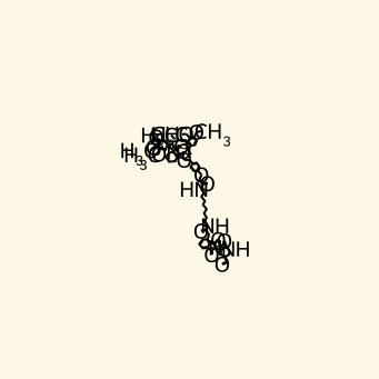 CC[C@H](C(=O)N1CCCC[C@H]1C(=O)O[C@H](CCc1ccc(OC)c(OC)c1)c1ccc(OCC(=O)NCCCCCCCCNC(=O)Cc2cccc3c2C(=O)N(C2CC(C=O)CNC2=O)C3=O)cc1)c1cc(OC)c(OC)c(OC)c1